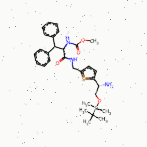 COC(=O)NC(C(=O)NCc1ccc([C@H](N)CO[Si](C)(C)C(C)(C)C)s1)C(c1ccccc1)c1ccccc1